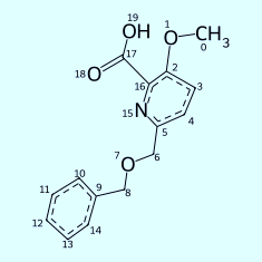 COc1ccc(COCc2ccccc2)nc1C(=O)O